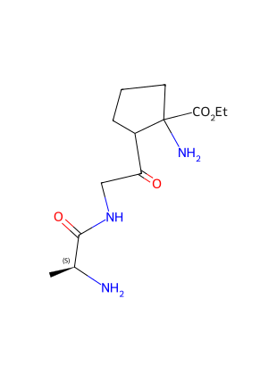 CCOC(=O)C1(N)CCCC1C(=O)CNC(=O)[C@H](C)N